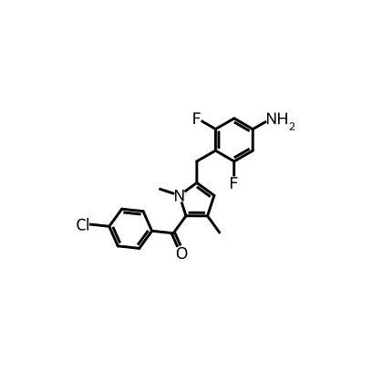 Cc1cc(Cc2c(F)cc(N)cc2F)n(C)c1C(=O)c1ccc(Cl)cc1